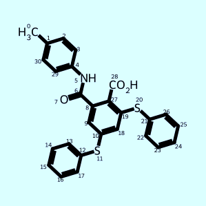 Cc1ccc(NC(=O)c2cc(Sc3ccccc3)cc(Sc3ccccc3)c2C(=O)O)cc1